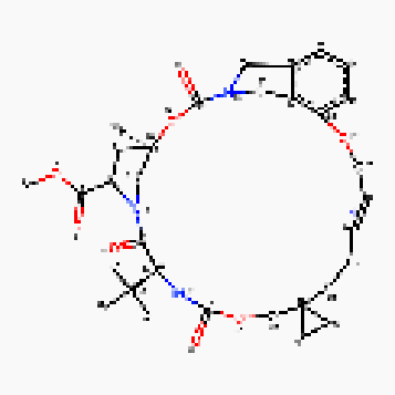 COC(=O)C1C[C@@H]2CN1C(=O)[C@H](C(C)(C)C)NC(=O)OCC1(CC/C=C/COc3cccc4c3CN(C4)C(=O)O2)CC1